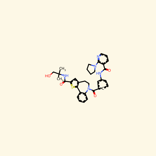 CC(C)(CO)NC(=O)c1cc2c(s1)-c1ccccc1N(C(=O)c1cccc(NC(=O)c3cccnc3N3CCCC3)c1)CC2